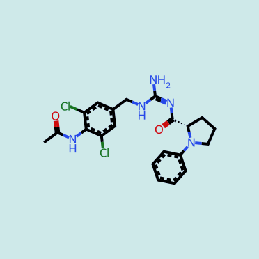 CC(=O)Nc1c(Cl)cc(CN/C(N)=N\C(=O)[C@@H]2CCCN2c2ccccc2)cc1Cl